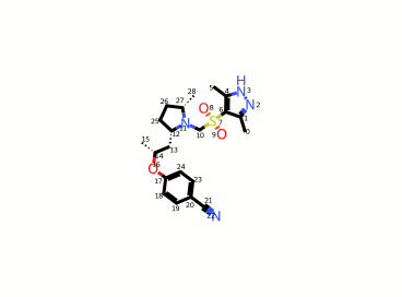 Cc1n[nH]c(C)c1S(=O)(=O)CN1[C@H](C[C@@H](C)Oc2ccc(C#N)cc2)CC[C@@H]1C